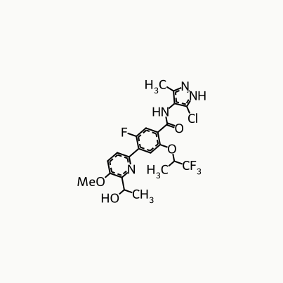 COc1ccc(-c2cc(OC(C)C(F)(F)F)c(C(=O)Nc3c(C)n[nH]c3Cl)cc2F)nc1C(C)O